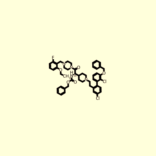 CCOc1cccc(F)c1CN1CCN(C(=O)[C@H](NC(=O)OCc2ccccc2)C2CCN(CCc3cc(Cl)ccc3-c3cccc(OCc4ccccc4)c3Cl)CC2)CC1